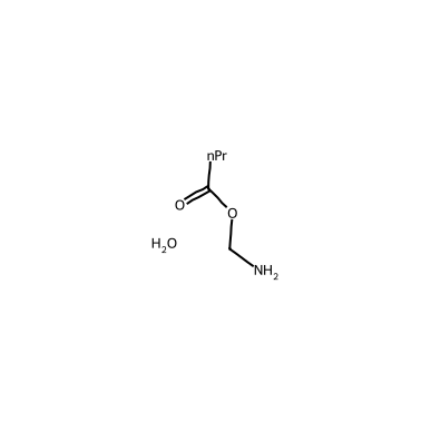 CCCC(=O)OCN.O